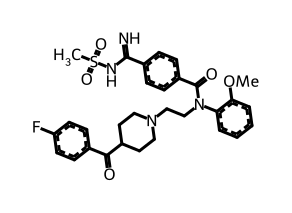 COc1ccccc1N(CCN1CCC(C(=O)c2ccc(F)cc2)CC1)C(=O)c1ccc(C(=N)NS(C)(=O)=O)cc1